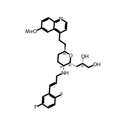 COc1ccc2nccc(CC[C@@H]3CC[C@@H](NC/C=C/c4cc(F)ccc4F)[C@@H](C[C@H](O)CO)O3)c2c1